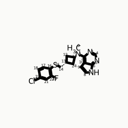 CN(c1ncnc2[nH]ccc12)[C@H]1C[C@@H](CSc2ccc(Cl)cc2F)C1